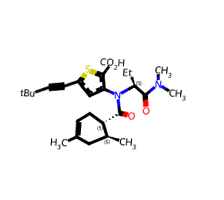 CC[C@@H](C(=O)N(C)C)N(C(=O)[C@H]1CC=C(C)C[C@@H]1C)c1cc(C#CC(C)(C)C)sc1C(=O)O